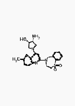 Cc1ccc2nc(N3CCS(=O)(=O)c4ccccc4C3)cc(N3C[C@@H](O)[C@@H](N)C3)c2c1